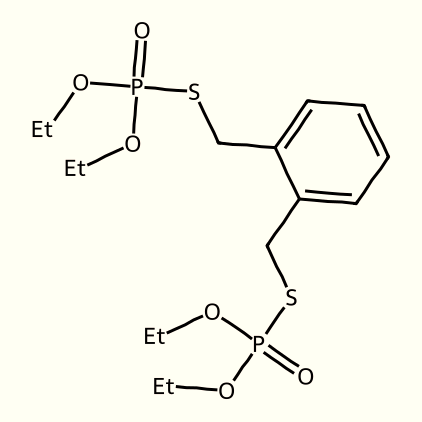 CCOP(=O)(OCC)SCc1ccccc1CSP(=O)(OCC)OCC